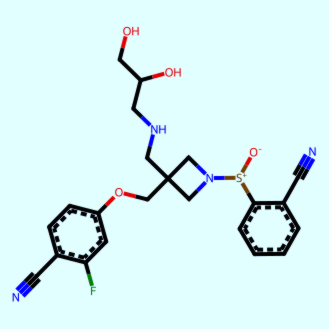 N#Cc1ccc(OCC2(CNCC(O)CO)CN([S+]([O-])c3ccccc3C#N)C2)cc1F